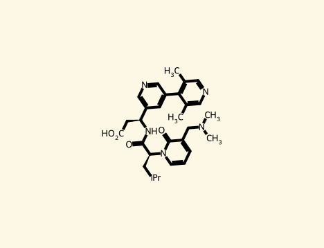 Cc1cncc(C)c1-c1cncc([C@H](CC(=O)O)NC(=O)[C@H](CC(C)C)n2cccc(CN(C)C)c2=O)c1